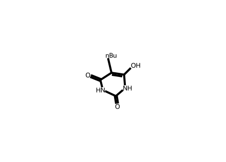 CCCCc1c(O)[nH]c(=O)[nH]c1=O